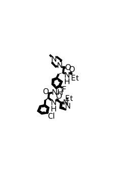 CCC(=O)N[C@H](Cc1ccc(NC(=O)[C@H](Cc2cccc(Cl)c2)NC(=O)c2ccnn2CC)c(F)c1)C(=O)N1CCN(C)CC1